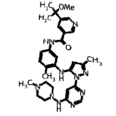 COC(C)(C)c1cncc(C(=O)Nc2ccc(C)c(Nc3cc(C)nn3-c3cc(NN4CCN(C)CC4)ncn3)c2)c1